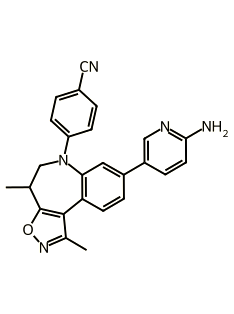 Cc1noc2c1-c1ccc(-c3ccc(N)nc3)cc1N(c1ccc(C#N)cc1)CC2C